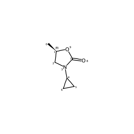 C[C@@H]1CN(C2CC2)C(=O)O1